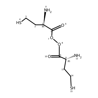 N[C@H](CCS)C(=O)OOC(=O)[C@H](N)CCS